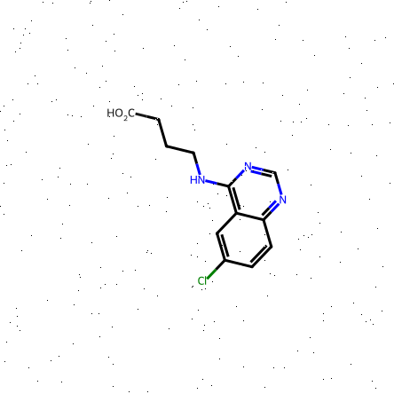 O=C(O)CCCNc1ncnc2ccc(Cl)cc12